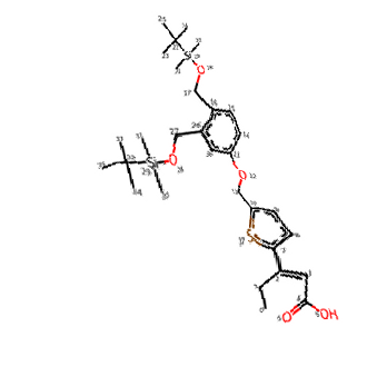 CCC(=CC(=O)O)c1ccc(COc2ccc(CO[Si](C)(C)C(C)(C)C)c(CO[Si](C)(C)C(C)(C)C)c2)s1